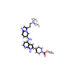 CN(C)CCc1cnc2ccc(Nc3ccnc4[nH]c(C5=CCN(C(=O)OC(C)(C)C)CC5)cc34)cn12